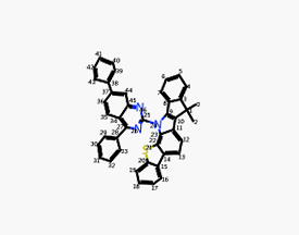 CC1(C)c2ccccc2-c2c1c1ccc3c4ccccc4sc3c1n2-c1nc(-c2ccccc2)c2ccc(-c3ccccc3)cc2n1